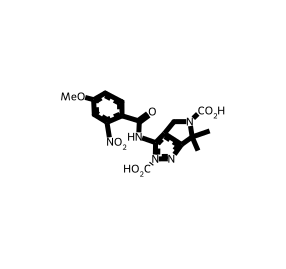 COc1ccc(C(=O)Nc2c3c(nn2C(=O)O)C(C)(C)N(C(=O)O)C3)c([N+](=O)[O-])c1